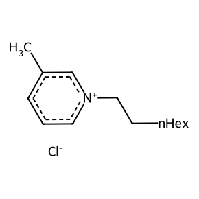 CCCCCCCC[n+]1cccc(C)c1.[Cl-]